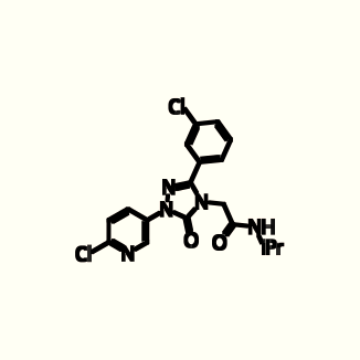 CC(C)NC(=O)Cn1c(-c2cccc(Cl)c2)nn(-c2ccc(Cl)nc2)c1=O